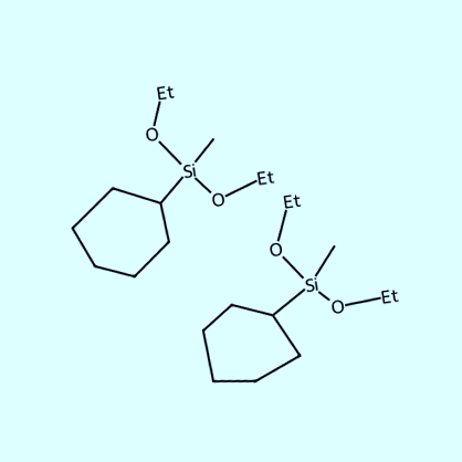 CCO[Si](C)(OCC)C1CCCCC1.CCO[Si](C)(OCC)C1CCCCC1